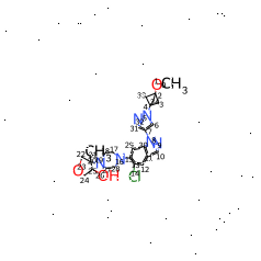 COC12CC(n3cc(-n4ncc5cc(Cl)c(N6CCN(C7(C)COC[C@@H]7O)CC6)cc54)cn3)(C1)C2